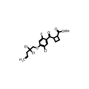 C=CCC(CC)(CC)COc1cc(F)c(C(=O)C2CCC2C(=O)OC)cc1Cl